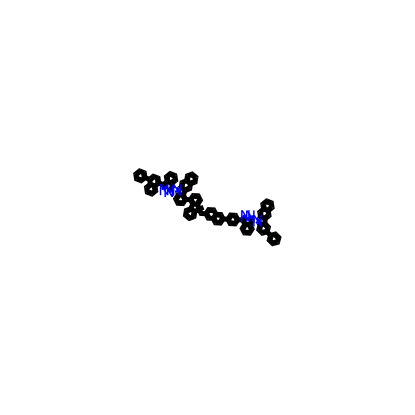 CC1(Cc2ccc3cc(-c4ccc(-c5nnc(-n6c7ccc(-c8ccccc8)cc7c7cc8ccccc8cc76)c6ccccc56)cc4)ccc3c2)c2ccccc2-c2c(-c3cccc4c3c3cc5ccccc5cc3n4-c3nnc(-c4ccc(-c5ccccc5)c5ccccc45)c4ccccc34)cccc21